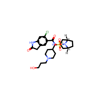 O=C1Cc2cc(C(=O)N[C@H]3C[C@H]4CC[C@@H](C3)N4S(=O)(=O)CC3CCN(CCCO)CC3)c(Cl)cc2N1